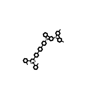 Cc1ccc2c(c1)c1cc(C)ccc1n2-c1ccc2c(c1)c1ccccc1n2-c1ccc(-c2ccc(-c3ccc(-c4cc(-c5ccccc5C)nc(-c5ccccc5C)n4)cc3)cc2)cc1